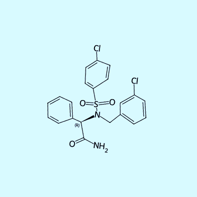 NC(=O)[C@@H](c1ccccc1)N(Cc1cccc(Cl)c1)S(=O)(=O)c1ccc(Cl)cc1